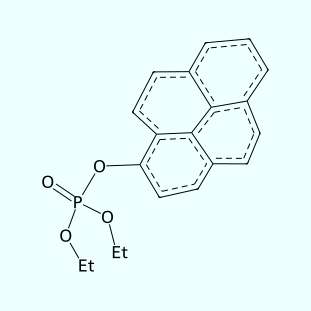 CCOP(=O)(OCC)Oc1ccc2ccc3cccc4ccc1c2c34